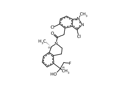 C[C@H]1c2cccc([C@@](C)(O)CF)c2CCN1C(=O)Cc1c(Cl)ccc2c1c(Cl)nn2C